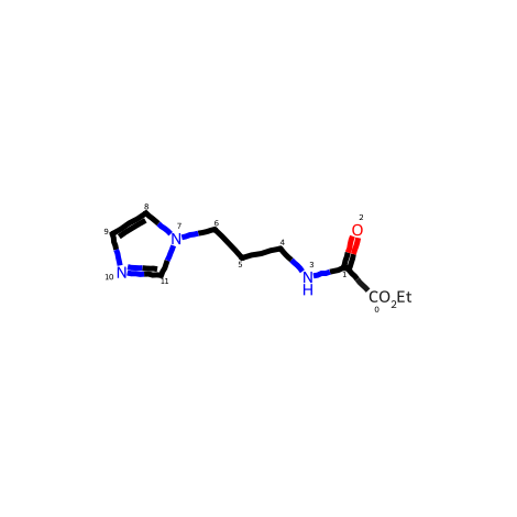 CCOC(=O)C(=O)NCCCn1ccnc1